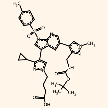 Cc1ccc(S(=O)(=O)n2cc(-c3cn(CCCC(=O)O)nc3C3CC3)c3cc(-c4cn(C)nc4CNC(=O)OC(C)(C)C)cnc32)cc1